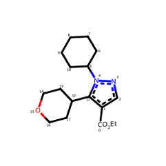 CCOC(=O)c1cnn(C2CCCCC2)c1C1CCOCC1